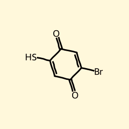 O=C1C=C(Br)C(=O)C=C1S